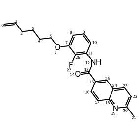 C=CCCCCOc1cccc(NC(=O)c2ccc3nc(C)ccc3c2)c1F